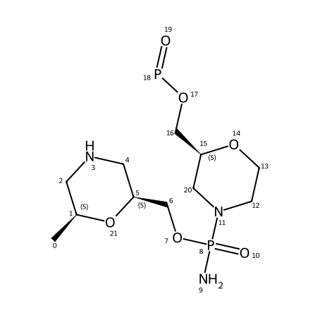 C[C@H]1CNC[C@@H](COP(N)(=O)N2CCO[C@H](COP=O)C2)O1